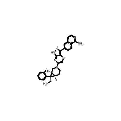 NC[C@]1(c2ccccc2F)[C@@H]2CCN(C3=CNC4=C(c5ccc6c(N)nccc6c5)NNC4=N3)C[C@@H]21